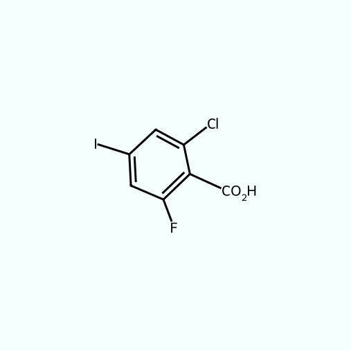 O=C(O)c1c(F)cc(I)cc1Cl